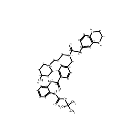 CC(C)(C)OC(=O)Nc1ccccc1NC(=O)c1ccc(CN(CCCN2CCC(O)CC2)C(=O)Nc2ccc3c(c2)OCCO3)cc1